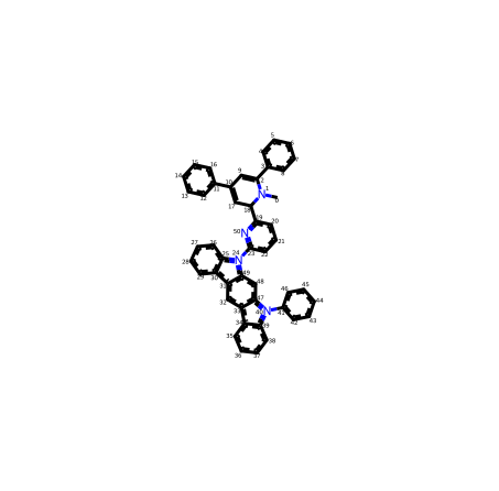 CN1C(c2ccccc2)=CC(c2ccccc2)=CC1c1cccc(-n2c3ccccc3c3cc4c5ccccc5n(-c5ccccc5)c4cc32)n1